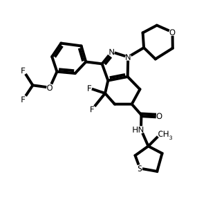 CC1(NC(=O)C2Cc3c(c(-c4cccc(OC(F)F)c4)nn3C3CCOCC3)C(F)(F)C2)CCSC1